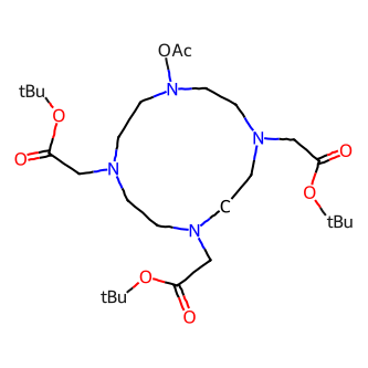 CC(=O)ON1CCN(CC(=O)OC(C)(C)C)CCN(CC(=O)OC(C)(C)C)CCN(CC(=O)OC(C)(C)C)CC1